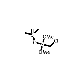 CO[Si](CCl)(OC)O[SiH](C)C